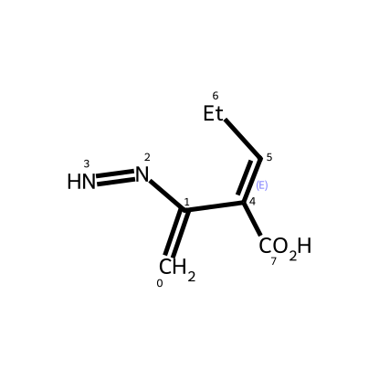 C=C(N=N)/C(=C\CC)C(=O)O